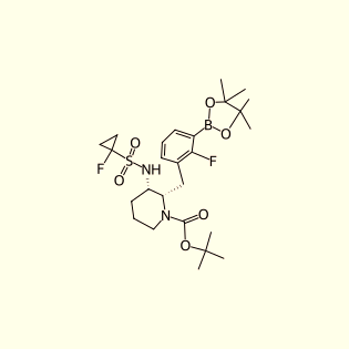 CC(C)(C)OC(=O)N1CCC[C@H](NS(=O)(=O)C2(F)CC2)[C@@H]1Cc1cccc(B2OC(C)(C)C(C)(C)O2)c1F